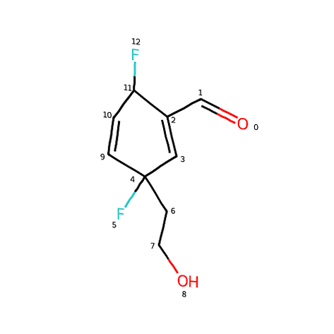 O=CC1=CC(F)(CCO)C=CC1F